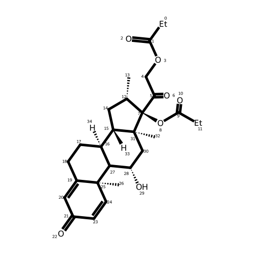 CCC(=O)OCC(=O)[C@@]1(OC(=O)CC)[C@@H](C)C[C@H]2[C@@H]3CCC4=CC(=O)C=C[C@]4(C)C3[C@@H](O)C[C@@]21C